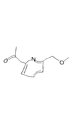 COCc1cccc(C(C)=O)n1